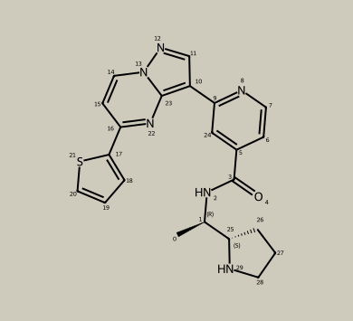 C[C@@H](NC(=O)c1ccnc(-c2cnn3ccc(-c4cccs4)nc23)c1)[C@@H]1CCCN1